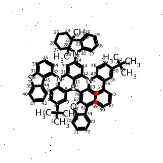 CC(C)(C)c1ccc2c(c1)B1c3c(cc(N4c5ccccc5C5(C)CCCCC45C)cc3N2c2cccc3sc4ccccc4c23)N(c2ccc(C(C)(C)C)cc2-c2ccccc2)c2ccc3c(oc4ccccc43)c21